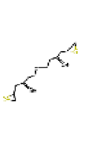 [Se]=C(CC[Te]CCC(=[Se])CC1CS1)CC1CS1